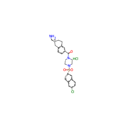 Cl.NC[C@H]1CCc2cc(C(=O)N3CCN(S(=O)(=O)c4ccc5cc(Cl)ccc5c4)CC3)ccc2C1